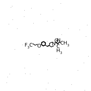 Cc1noc(N2CCC(=Cc3cccc(OCCCC(F)(F)F)c3)CC2)c1C